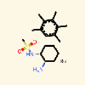 CS(=O)(=O)N[C@@H]1CCCC[C@H]1N.Cc1cc(C)c(C)c(C)c1C.[Ru]